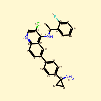 CC(Nc1c(Cl)cnc2ccc(-c3ccc(C4(N)CC4)cc3)cc12)c1ccccc1F